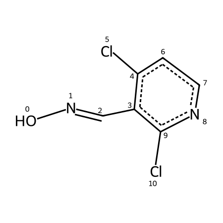 ON=Cc1c(Cl)ccnc1Cl